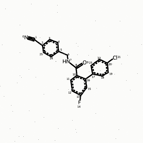 N#Cc1ccc(CNC(=O)c2ccc(F)cc2-c2ccc(Cl)cc2)cc1